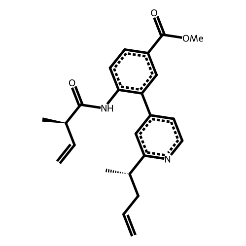 C=CC[C@H](C)c1cc(-c2cc(C(=O)OC)ccc2NC(=O)[C@H](C)C=C)ccn1